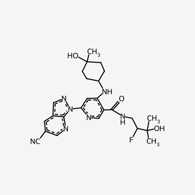 CC1(O)CCC(Nc2cc(-n3ncc4cc(C#N)cnc43)ncc2C(=O)NCC(F)C(C)(C)O)CC1